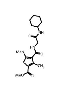 CNc1sc(C(=O)OC)c(C)c1C(=O)NCC(=O)NC1CCCCC1